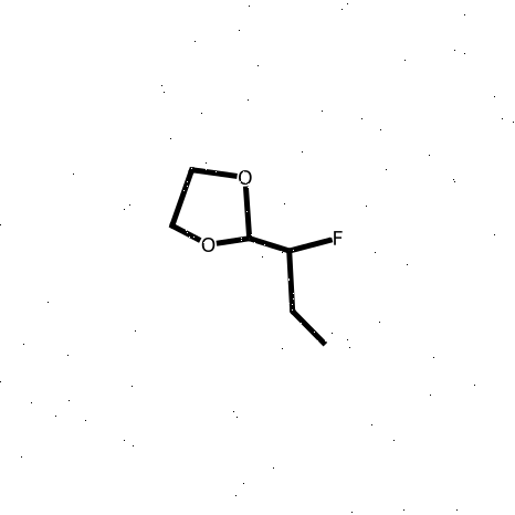 CCC(F)C1OCCO1